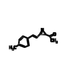 CC(=O)C1N=C1/C=C/c1ccc(C)cc1